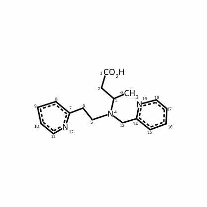 CC(CC(=O)O)N(CCc1ccccn1)Cc1ccccn1